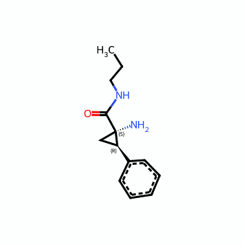 CCCNC(=O)[C@]1(N)C[C@@H]1c1ccccc1